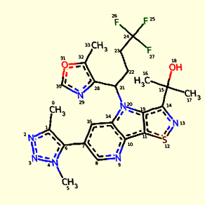 Cc1nnn(C)c1-c1cnc2c3snc(C(C)(C)O)c3n(C(CCC(F)(F)F)c3ncoc3C)c2c1